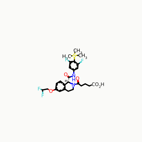 CS(C)(C)c1c(F)cc(NC(=O)[C@H]2c3ccc(OCC(F)F)cc3CCN2C(=O)CCCC(=O)O)cc1F